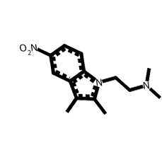 Cc1c(C)n(CCN(C)C)c2ccc([N+](=O)[O-])cc12